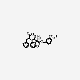 NC(C(=O)NC(Cc1ccccc1)C(=O)C(F)(F)F)(C(=O)OCc1cccc(C(=O)O)c1)n1ccccc1=O